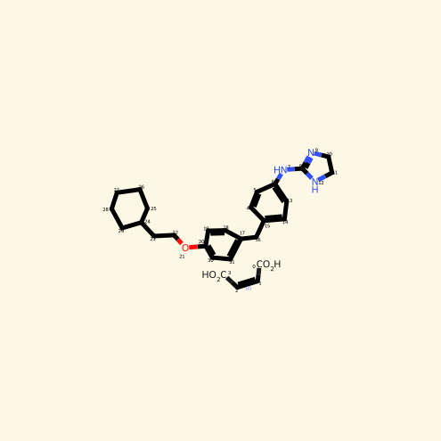 O=C(O)/C=C\C(=O)O.c1cc(NC2=NCCN2)ccc1Cc1ccc(OCCC2CCCCC2)cc1